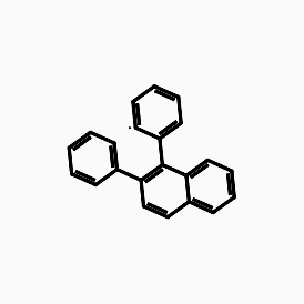 [c]1ccccc1-c1c(-c2ccccc2)ccc2ccccc12